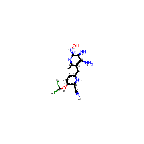 CC1=N/C(=N/O)C(=N)C(N)=C1Cc1ccc(OC(F)F)c(C#N)n1